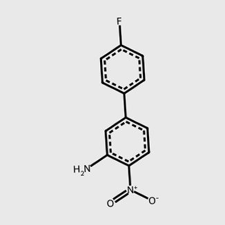 Nc1cc(-c2ccc(F)cc2)ccc1[N+](=O)[O-]